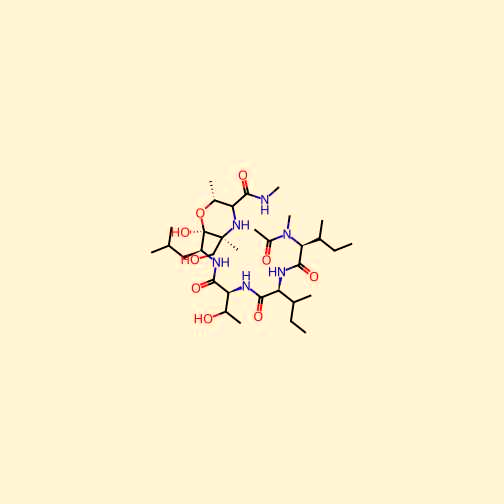 CCC(C)[C@H](NC(=O)[C@H](C(C)CC)N(C)C(C)=O)C(=O)N[C@H](C(=O)N[C@@H](CC(C)C)[C@@]1(O)O[C@H](C)C(C(=O)NC)N[C@@]1(C)CO)C(C)O